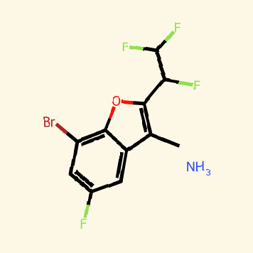 Cc1c(C(F)C(F)F)oc2c(Br)cc(F)cc12.N